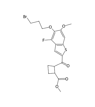 COC(=O)C1CCC1C(=O)c1cc2c(F)c(OCCCBr)c(OC)cc2s1